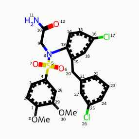 COc1ccc(S(=O)(=O)N(CC(N)=O)c2ccc(Cl)cc2Cc2cccc(Cl)c2)cc1OC